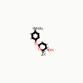 CC[C@H]1O[C@H](Oc2ccc(NC(C)=O)cc2)C=C[C@@H]1O